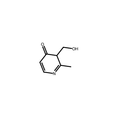 CC1=NC=CC(=O)C1CO